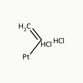 C=[CH][Pt].Cl.Cl